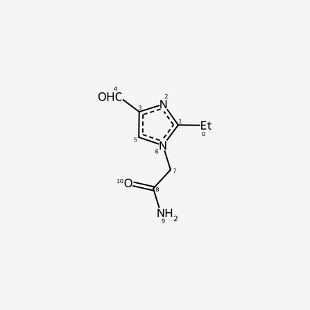 CCc1nc(C=O)cn1CC(N)=O